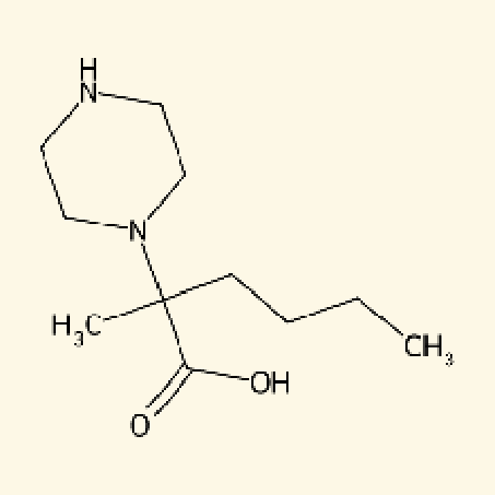 CCCCC(C)(C(=O)O)N1CCNCC1